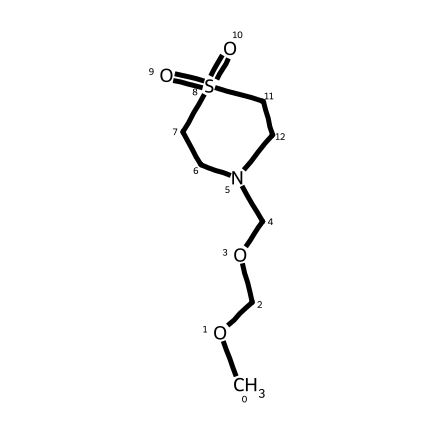 COCOCN1CCS(=O)(=O)CC1